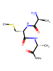 CCSC[C@H](NC(=O)[C@H](C)N)C(=O)N[C@H](C)C(=O)NC